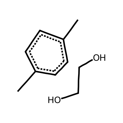 Cc1ccc(C)cc1.OCCO